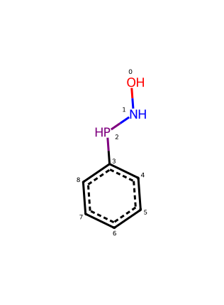 ONPc1ccccc1